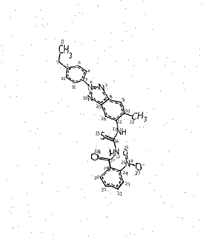 CCc1ccc(-n2nc3cc(C)c(NC(=S)NC(=O)c4ccccc4[N+](=O)[O-])cc3n2)cc1